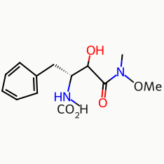 CON(C)C(=O)C(O)[C@@H](Cc1ccccc1)NC(=O)O